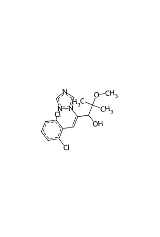 COC(C)(C)C(O)/C(=C/c1c(Cl)cccc1Cl)n1cncn1